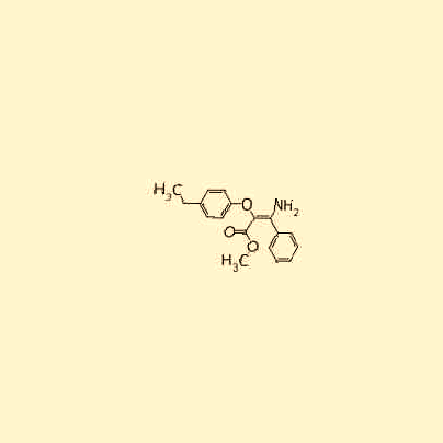 CCc1ccc(OC(C(=O)OC)=C(N)c2ccccc2)cc1